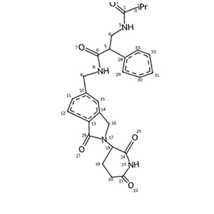 CC(C)C(=O)NCC(C(=O)NCc1ccc2c(c1)CN(C1CCC(=O)NC1=O)C2=O)c1ccccc1